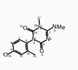 CNc1nc(=O)n(-c2ccc(Cl)cc2C)c(=O)n1C